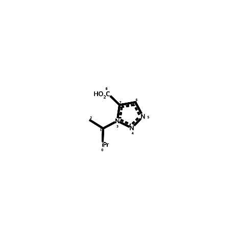 CC(C)C(C)n1nncc1C(=O)O